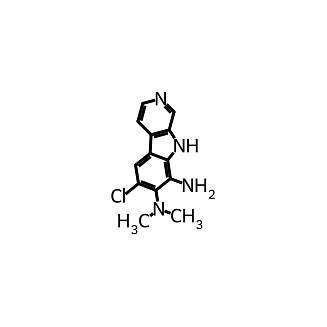 CN(C)c1c(Cl)cc2c([nH]c3cnccc32)c1N